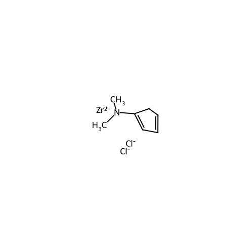 CN(C)C1=CC=CC1.[Cl-].[Cl-].[Zr+2]